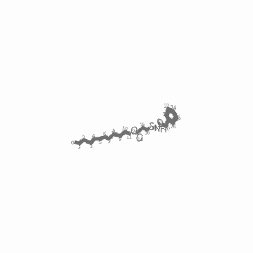 CCCCCCCCCCCCOC(=O)CCSNSCc1ccccc1